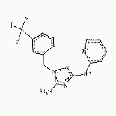 Nc1nc(Nc2ccccn2)nn1Cc1cccc(C(F)(F)F)c1